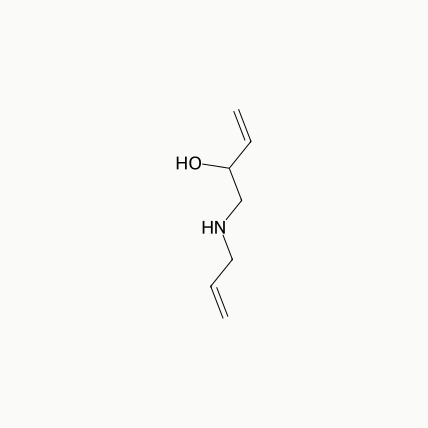 C=CCNCC(O)C=C